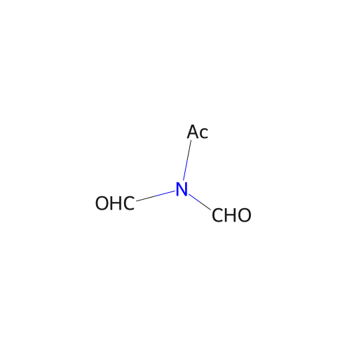 CC(=O)N(C=O)C=O